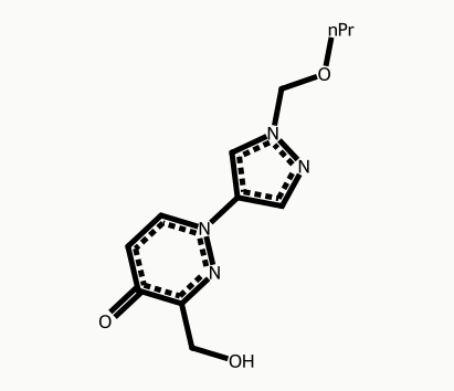 CCCOCn1cc(-n2ccc(=O)c(CO)n2)cn1